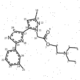 CCN(CC)CCOC(=O)Cn1nc(C)cc1-c1nc(-c2cccc(C)c2)ns1